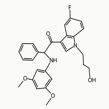 COc1cc(NC(C(=O)c2cn(CCCO)c3ccc(F)cc23)c2ccccc2)cc(OC)c1